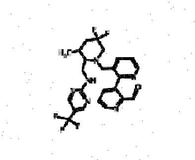 CC1CC(F)(F)CN(Cc2cccnc2-c2cccnc2C=O)C1CNc1ncc(C(F)(F)F)cn1